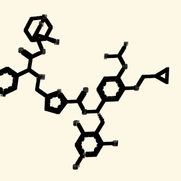 O=C(O[C@@H](Cc1c(Cl)c[n+]([O-])cc1Cl)c1ccc(OC(F)F)c(OCC2CC2)c1)c1ccc(CNC(C(=O)O[C@H]2CN3CCC2CC3)c2cccnc2)s1